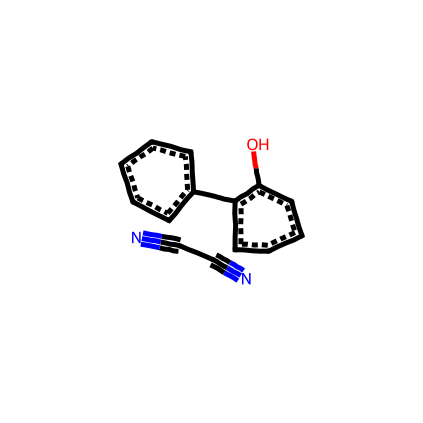 N#CC#N.Oc1ccccc1-c1ccccc1